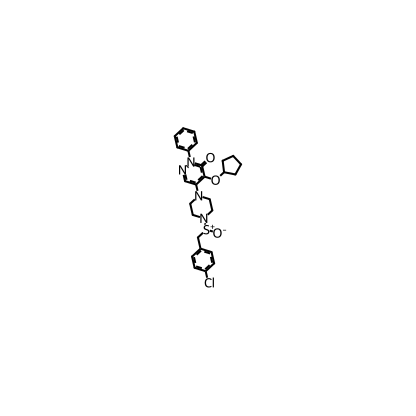 O=c1c(OC2CCCC2)c(N2CCN([S+]([O-])Cc3ccc(Cl)cc3)CC2)cnn1-c1ccccc1